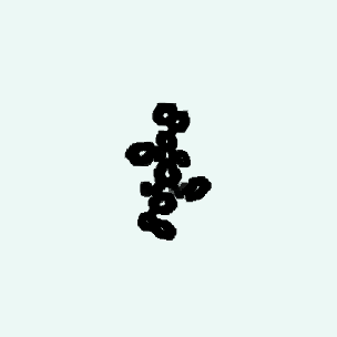 O=c1c2cc(-c3cccc4ccccc34)ccc2n(-c2ccccc2)c2cc3c(=O)c4cc(-c5cccc6ccccc56)ccc4n(-c4ccccc4)c3cc12